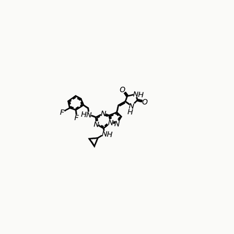 O=C1NC(=O)/C(=C/c2cnn3c(NC4CC4)nc(NCc4cccc(F)c4F)nc23)N1